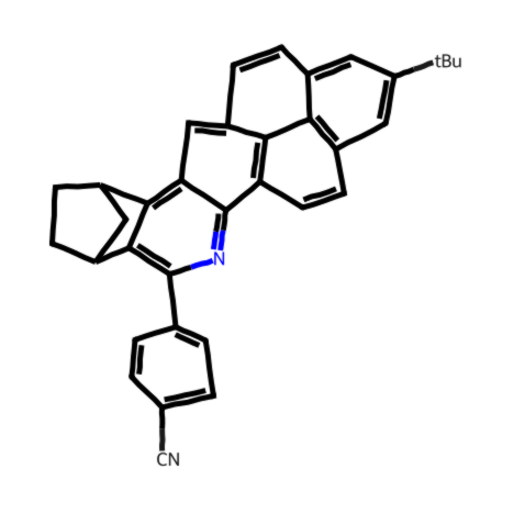 CC(C)(C)c1cc2ccc3cc4c5c(c(-c6ccc(C#N)cc6)nc4c4ccc(c1)c2c34)C1CCC5C1